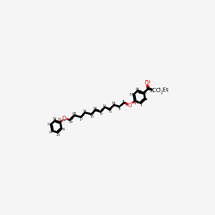 CCOC(=O)C(=O)c1ccc(OCCCCCCCCCCCCOc2ccccc2)cc1